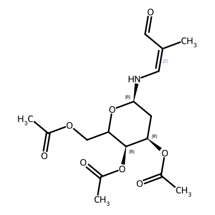 CC(=O)OCC1O[C@@H](N/C=C(/C)C=O)C[C@@H](OC(C)=O)[C@H]1OC(C)=O